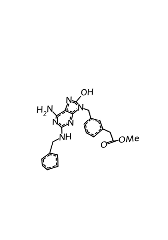 COC(=O)Cc1cccc(Cn2c(O)nc3c(N)nc(NCc4ccccc4)nc32)c1